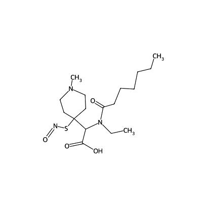 CCCCCCC(=O)N(CC)C(C(=O)O)C1(SN=O)CCN(C)CC1